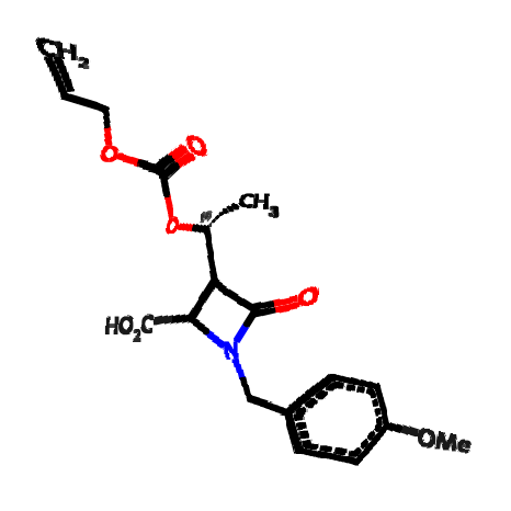 C=CCOC(=O)O[C@H](C)C1C(=O)N(Cc2ccc(OC)cc2)C1C(=O)O